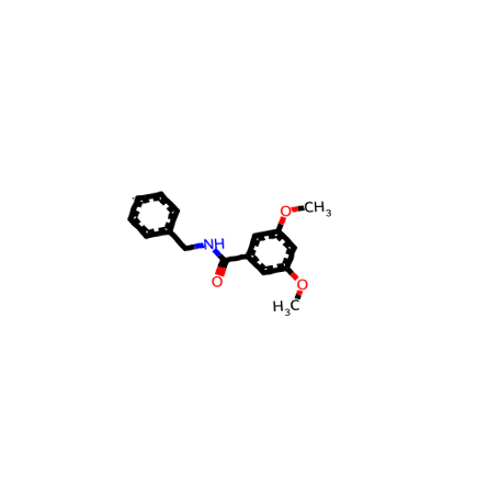 COc1cc(OC)cc(C(=O)NCc2cc[c]cc2)c1